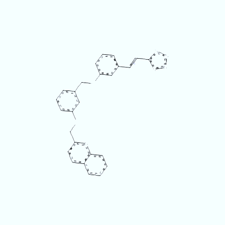 C(=C\c1nnn[nH]1)/c1cccc(OCc2cccc(SCc3ccc4ccccc4n3)c2)c1